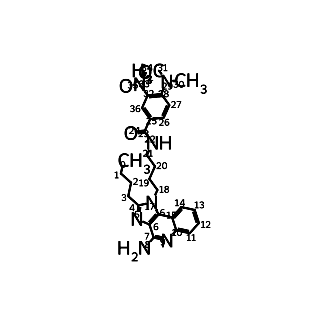 CCCCc1nc2c(N)nc3ccccc3c2n1CCCCNC(=O)c1ccc(N(C)C)c([N+](=O)[O-])c1